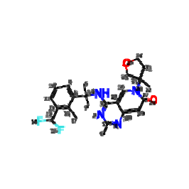 Cc1nc(NC(C)(C)c2cccc(C(F)F)c2C)c2cn(C3(C)CCOC3)c(=O)cc2n1